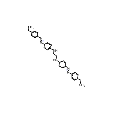 CCc1ccc(/N=N/c2ccc(NCCNc3ccc(/N=N/c4ccc(CC)cc4)cc3)cc2)cc1